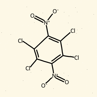 O=[N+]([O-])c1c(Cl)c(Cl)c([N+](=O)[O-])c(Cl)c1Cl